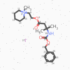 CC(C)(CC(=O)OCC[N+]1(C)CCCCC1)NC(=O)OCc1ccccc1.[I-]